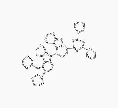 c1ccc(-c2nc(-c3ccccc3)nc(-c3ccc(-n4c5ccccc5c5c4ccc4c6ccccc6n(-c6ccccc6)c45)c4c3sc3ccccc34)n2)cc1